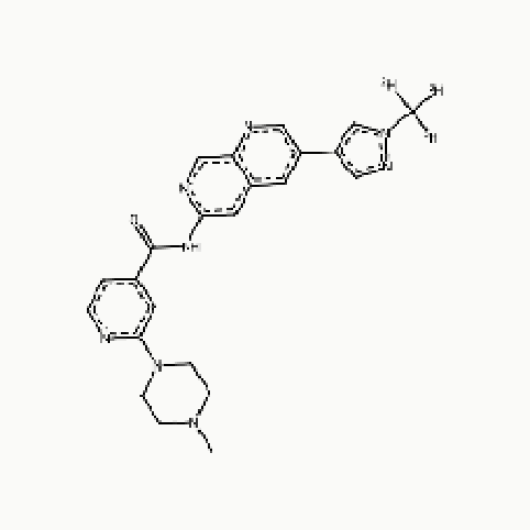 [2H]C([2H])([2H])n1cc(-c2cnc3cnc(NC(=O)c4ccnc(N5CCN(C)CC5)c4)cc3c2)cn1